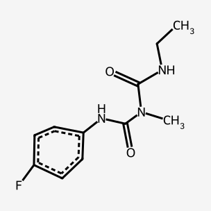 CCNC(=O)N(C)C(=O)Nc1ccc(F)cc1